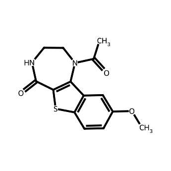 COc1ccc2sc3c(c2c1)N(C(C)=O)CCNC3=O